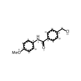 COc1ccc(NC(=O)c2ccc(CCl)cc2)cc1